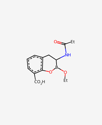 CCOB1Oc2c(cccc2C(=O)O)CC1NC(=O)CC